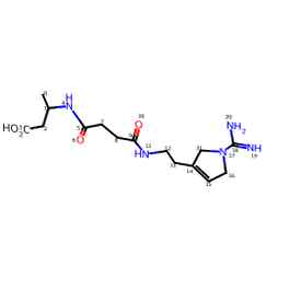 CC(CC(=O)O)NC(=O)CCC(=O)NCCC1=CCN(C(=N)N)C1